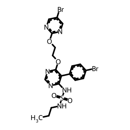 CCCNS(=O)(=O)Nc1ncnc(OCCOc2ncc(Br)cn2)c1-c1ccc(Br)cc1